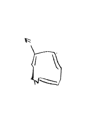 Fc1[c]ccnc1